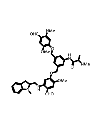 CNc1cc(OCc2cc(COc3cc(NCC4Cc5ccccc5N4C)c(C=O)cc3OC)cc(NC(=O)C(C)NC)c2)c(OC)cc1C=O